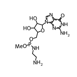 COP(NCCN)OCC1OC(n2cnc3c(=O)[nH]c(N)nc32)C(O)C1O